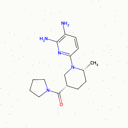 C[C@@H]1CC[C@H](C(=O)N2CCCC2)CN1c1ccc(N)c(N)n1